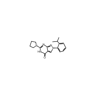 CC(C)c1ccccc1-n1cc2c(=O)[nH]c(N3CCCC3)nc2n1